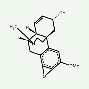 COc1cc2c(c3c1O3)C[C@@H]1[C@@H]3C=C[C@H](O)C[C@]23CCN1C